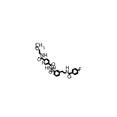 COCCNC(=O)c1ccc(C(=O)NS(=O)(=O)c2cccc(CCNC(=O)c3ccc(F)cc3)c2)cn1